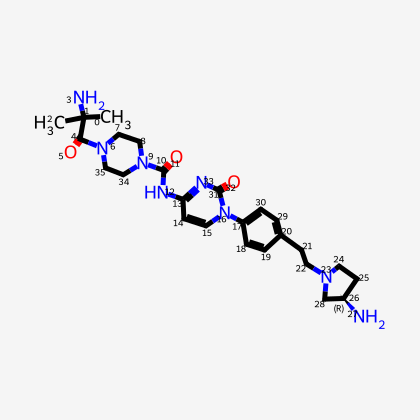 CC(C)(N)C(=O)N1CCN(C(=O)Nc2ccn(-c3ccc(CCN4CC[C@@H](N)C4)cc3)c(=O)n2)CC1